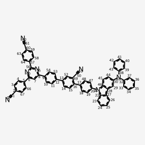 N#Cc1ccc(-c2cc(-c3ccc(-c4ccc(-c5ccc(-n6c7ccccc7c7cc(N(c8ccccc8)c8ccccc8)ccc76)cc5)c(C#N)c4)cc3)nc(-c3ccc(C#N)cc3)n2)cc1